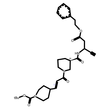 C#CC(CC(=O)OCCc1ccccc1)NC(=O)[C@@H]1CCCN(C(=O)/C=C/C2CCN(C(=O)OC(C)(C)C)CC2)C1